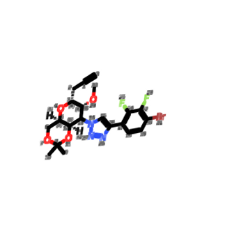 C#CC[C@H]1O[C@@H]2COC(C)(C)O[C@@H]2C(n2cc(-c3ccc(Br)c(F)c3F)nn2)[C@H]1OC